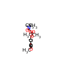 CCN(CC)C(=O)COC(=O)C(C)(C)OCc1ccc(C23CCC(OC)(CC2)CC3)cc1